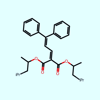 CC(C)CC(C)OC(=O)C(=CC=C(c1ccccc1)c1ccccc1)C(=O)OC(C)CC(C)C